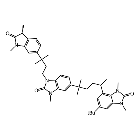 CC(CCC(C)(C)c1ccc2c(c1)n(C)c(=O)n2CCC(C)(C)c1ccc2c(c1)N(C)C(=O)[C@H]2C)c1cc(C(C)(C)C)cc2c1n(C)c(=O)n2C